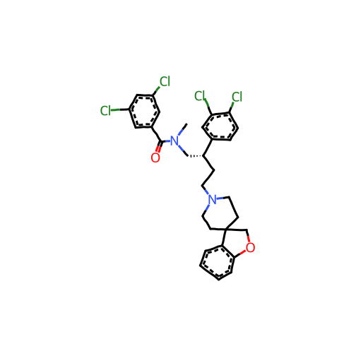 CN(C[C@@H](CCN1CCC2(CC1)COc1ccccc12)c1ccc(Cl)c(Cl)c1)C(=O)c1cc(Cl)cc(Cl)c1